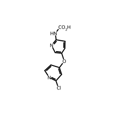 O=C(O)Nc1ccc(Oc2ccnc(Cl)c2)cn1